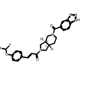 O=C(C=Cc1ccc(OC(F)F)cc1)N1C[C@H]2CCN(C(=O)c3ccc4[nH]nnc4c3)C[C@@H]2C1